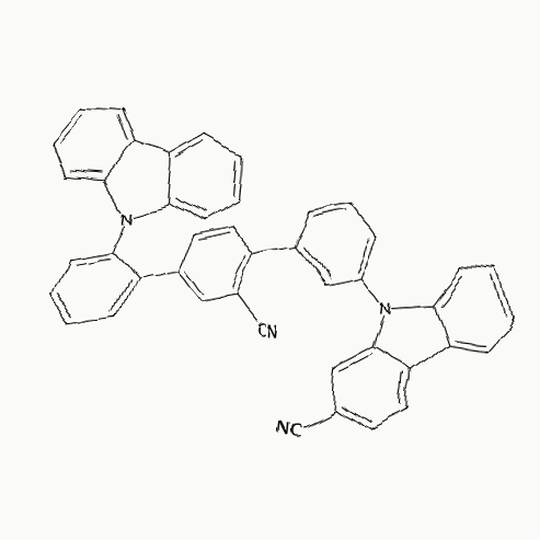 N#Cc1ccc2c3ccccc3n(-c3cccc(-c4ccc(-c5ccccc5-n5c6ccccc6c6ccccc65)cc4C#N)c3)c2c1